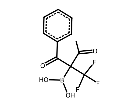 CC(=O)C(B(O)O)(C(=O)c1ccccc1)C(F)(F)F